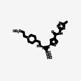 Cc1nnc(NC(=O)c2csc([C@@H]3C[C@H]3NCC3CCN(CCC(=O)O)CC3)c2)s1.Cl.Cl.Cl